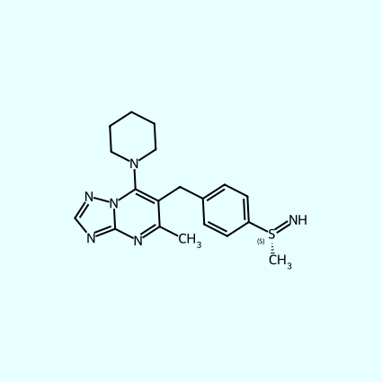 Cc1nc2ncnn2c(N2CCCCC2)c1Cc1ccc([S@@](C)=N)cc1